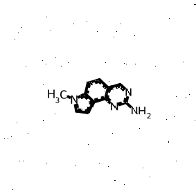 Cn1ccc2c3nc(N)ncc3ccc21